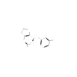 [O-][S+]1CCc2nc(Cl)nc(Nc3cccc(F)c3)c21